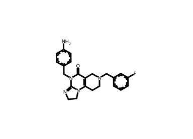 Nc1ccc(CN2C(=O)C3=C(CCN(Cc4cccc(F)c4)C3)N3CCN=C23)cc1